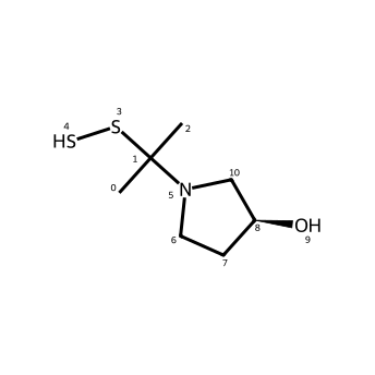 CC(C)(SS)N1CC[C@H](O)C1